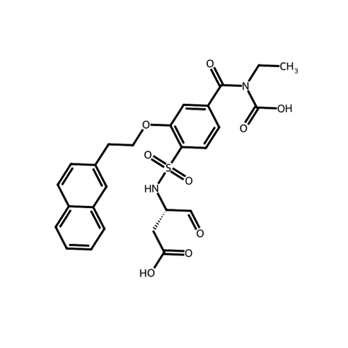 CCN(C(=O)O)C(=O)c1ccc(S(=O)(=O)N[C@H](C=O)CC(=O)O)c(OCCc2ccc3ccccc3c2)c1